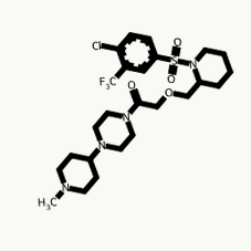 CN1CCC(N2CCN(C(=O)COCC3CCCCN3S(=O)(=O)c3ccc(Cl)c(C(F)(F)F)c3)CC2)CC1